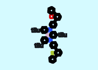 CC(C)(C)c1ccc2c(c1)B1c3ccc(C(C)(C)C)cc3N(c3ccc(-c4cccc5c4sc4ccccc45)cc3)c3cc(C(C)(C)C)cc(c31)N2c1ccc(-c2cccc3c2oc2ccccc23)cc1